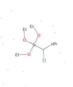 CCCC(Cl)[Si](OCC)(OCC)OCC